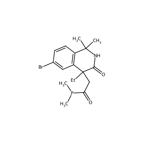 CCC1(CC(=O)P(C)C)C(=O)NC(C)(C)c2ccc(Br)cc21